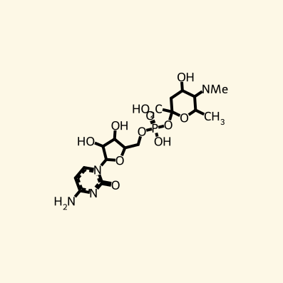 CNC1C(O)CC(OP(=O)(O)OCC2OC(n3ccc(N)nc3=O)C(O)C2O)(C(=O)O)OC1C